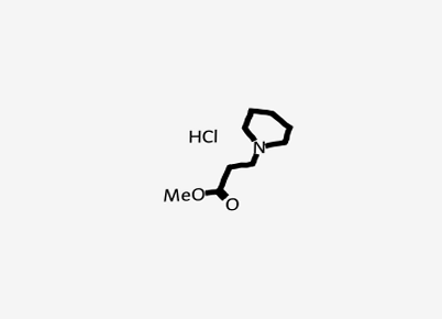 COC(=O)CCN1CCCCC1.Cl